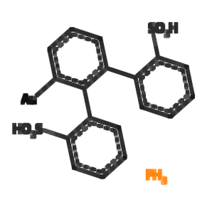 O=S(=O)(O)c1ccccc1-c1ccc[c]([Au])c1-c1ccccc1S(=O)(=O)O.P